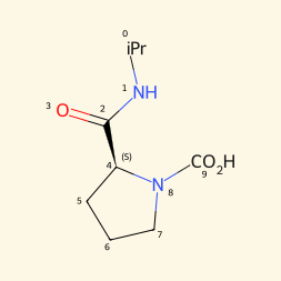 CC(C)NC(=O)[C@@H]1CCCN1C(=O)O